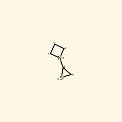 C1CN(C2CS2)C1